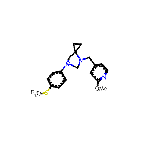 COc1cc(CN2CN(c3ccc(SC(F)(F)F)cc3)CC23CC3)ccn1